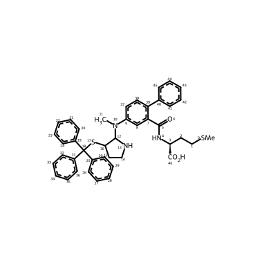 CSCC[C@H](NC(=O)c1cc(N(C)C2NCCC2SC(c2ccccc2)(c2ccccc2)c2ccccc2)ccc1-c1ccccc1)C(=O)O